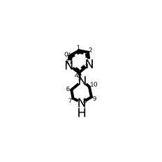 [c]1ccnc(N2CCNCC2)n1